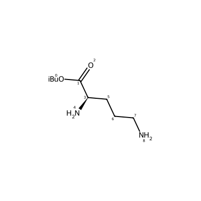 CC(C)COC(=O)[C@H](N)CCCN